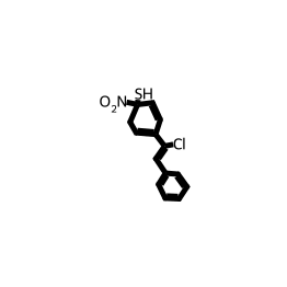 O=[N+]([O-])C1(S)C=CC(C(Cl)=Cc2ccccc2)=CC1